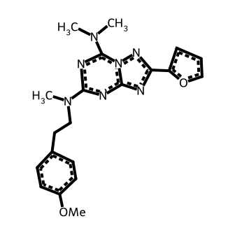 COc1ccc(CCN(C)c2nc(N(C)C)n3nc(-c4ccco4)nc3n2)cc1